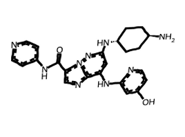 N[C@H]1CC[C@H](Nc2cc(Nc3cc(O)ccn3)c3ncc(C(=O)Nc4ccncc4)n3n2)CC1